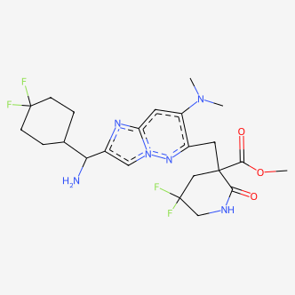 COC(=O)C1(Cc2nn3cc(C(N)C4CCC(F)(F)CC4)nc3cc2N(C)C)CC(F)(F)CNC1=O